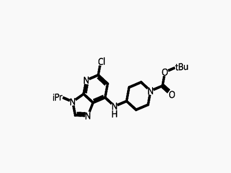 CC(C)n1cnc2c(NC3CCN(C(=O)OC(C)(C)C)CC3)cc(Cl)nc21